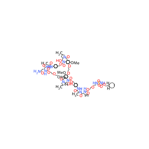 C=C1CC2[C@H](O)N(C(=O)OCc3ccc(NC(=O)[C@H](C)NC(=O)[C@H](CC(N)=O)NC(=O)OCCOCCOC)cc3)c3cc(OCCCOc4cc5c(cc4OC)C(=O)N4CC(=C)C[C@H]4[C@H](O)N5C(=O)OCc4ccc(NC(=O)[C@H](C)NC(=O)[C@@H](NC(=O)OCCOCCNS(=O)(=O)NC(=O)OCC5[C@H]6CC/C=C\CC[C@@H]56)C(C)C)cc4)c(OC)cc3C(=O)N2C1